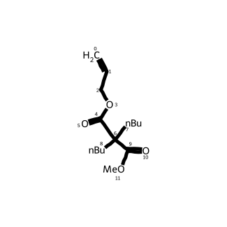 C=CCOC(=O)C(CCCC)(CCCC)C(=O)OC